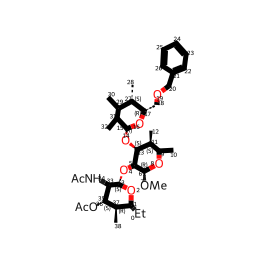 CCC1O[C@@H](OC2[C@H](OC)OC(C)[C@H](C)[C@@H]2O[C@H]2O[C@@H](COCc3ccccc3)[C@@H](C)C(C)C2C)C(NC(C)=O)[C@@H](OC(C)=O)[C@@H]1C